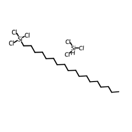 CCCCCCCCCCCCCCCCCC[Si](Cl)(Cl)Cl.Cl[SiH](Cl)Cl